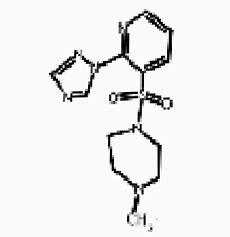 [CH2]N1CCN(S(=O)(=O)c2cccnc2-n2cncn2)CC1